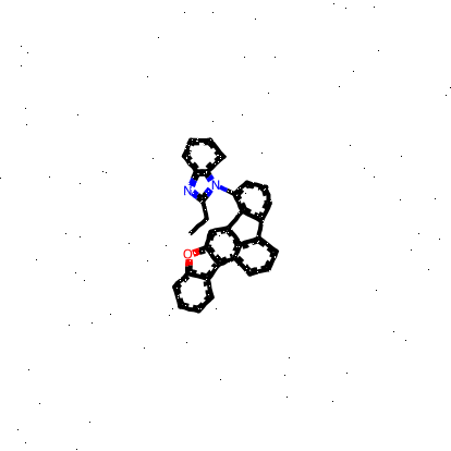 CCc1nc2ccccc2n1-c1cccc2c1-c1cc3oc4ccccc4c3c3cccc-2c13